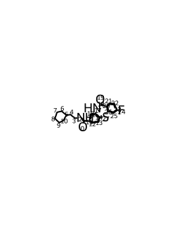 O=C(NCCC1CCCCC1)c1ccc2c(c1)NC(=O)c1ccc(F)cc1S2